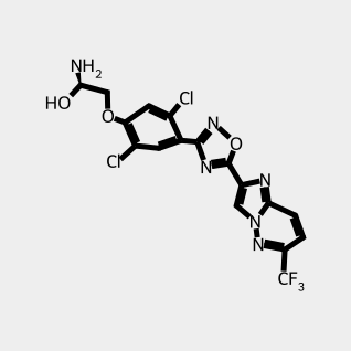 N[C@H](O)COc1cc(Cl)c(-c2noc(-c3cn4nc(C(F)(F)F)ccc4n3)n2)cc1Cl